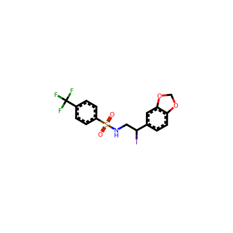 O=S(=O)(NCC(I)c1ccc2c(c1)OCO2)c1ccc(C(F)(F)F)cc1